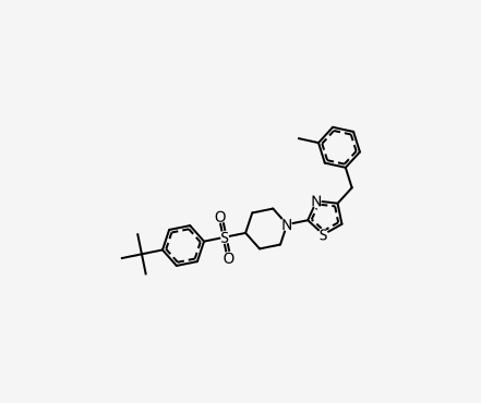 Cc1cccc(Cc2csc(N3CCC(S(=O)(=O)c4ccc(C(C)(C)C)cc4)CC3)n2)c1